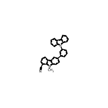 Cn1c2ccc(-c3cccc(-n4c5ccccc5c5ccccc54)c3)cc2c2cccc(C#N)c21